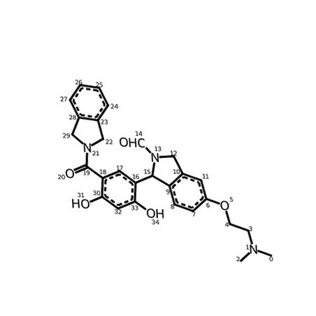 CN(C)CCOc1ccc2c(c1)CN(C=O)C2c1cc(C(=O)N2Cc3ccccc3C2)c(O)cc1O